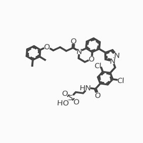 Cc1cccc(OCCCC(=O)N2CCOc3c(-c4cnn(Cc5c(Cl)cc(C(=O)NCCS(=O)(=O)O)cc5Cl)c4)cccc32)c1C